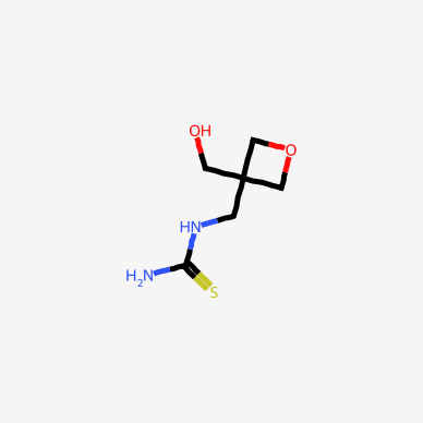 NC(=S)NCC1(CO)COC1